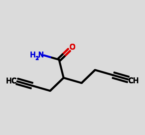 C#CCCC(CC#C)C(N)=O